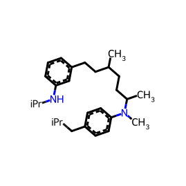 CC(C)Cc1ccc(N(C)C(C)CCC(C)CCc2cccc(NC(C)C)c2)cc1